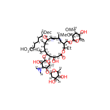 CCCCCCCCCCCCCCCC(=O)O.CC[C@H]1OC(=O)C[C@@H](O)[C@H](C)[C@@H](O[C@@H]2O[C@H](C)[C@@H](O[C@H]3C[C@@](C)(O)[C@@H](O)[C@H](C)O3)[C@H](N(C)C)[C@H]2O)[C@@H](CC=O)C[C@@H](C)C(=O)/C=C/C(C)=C/C1CO[C@@H]1O[C@H](C)[C@@H](O)[C@@H](OC)[C@H]1OC